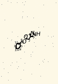 O=C(Cc1cn[nH]c1)OCc1ccccc1